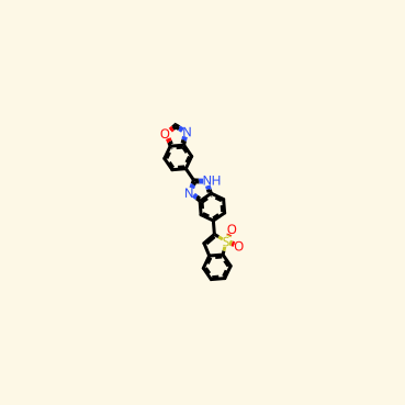 O=S1(=O)C(c2ccc3[nH]c(-c4ccc5ocnc5c4)nc3c2)=Cc2ccccc21